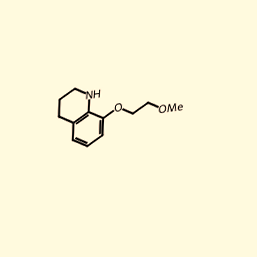 COCCOc1cccc2c1NCCC2